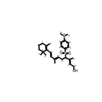 CC(C=CC1=C(C)CCCC1(C)C)=CCC(C(C)=CCO)S(=O)(=O)c1ccc(N(C)C)cc1